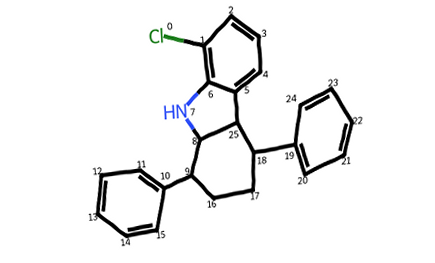 Clc1cccc2c1NC1C(c3ccccc3)CCC(c3ccccc3)C21